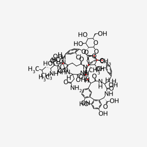 CN[C@H](CC(C)C)C(=O)N[C@H]1C(=O)N[C@@H](CC(N)=O)C(=O)N[C@H]2C(=O)N[C@H]3C(=O)N[C@H](C(=O)N[C@H](C(=O)O)c4cc(O)cc(O)c4-c4cc3ccc4O)[C@H](O)c3ccc(c(Cl)c3)Oc3cc2cc(c3O[C@@H]2O[C@H](CO)[C@@H](O)[C@H](O)[C@H]2O[C@H]2C[C@](C)(NC(=O)CCC(=O)NCP(O)O)[C@H](O)[C@H](C)O2)Oc2ccc(cc2Cl)[C@H]1O